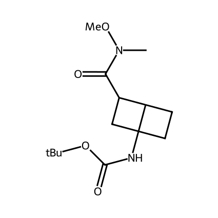 CON(C)C(=O)C1CC2(NC(=O)OC(C)(C)C)CCC12